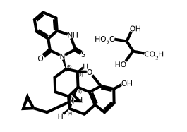 O=C(O)C(O)C(O)C(=O)O.O=c1c2ccccc2[nH]c(=S)n1[C@@H]1CCC2(O)[C@H]3Cc4ccc(O)c5c4[C@@]2(CCN3CC2CC2)[C@H]1O5